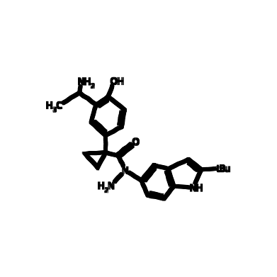 CC(N)c1cc(C2(C(=O)N(N)c3ccc4[nH]c(C(C)(C)C)cc4c3)CC2)ccc1O